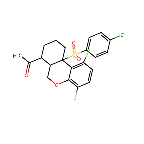 CC(=O)C1CCCC2(S(=O)(=O)c3ccc(Cl)cc3)c3c(F)ccc(F)c3OCC12